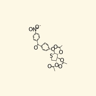 CC(=O)O[C@@H]1[C@@H](OC(C)=O)[C@H](OC(C)=O)CS[C@H]1Oc1ccc(C(=O)c2ccc([N+](=O)[O-])cc2)cc1